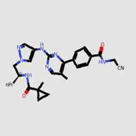 CCC[C@@H](Cn1cc(Nc2ncc(C)c(-c3ccc(C(=O)NCC#N)cc3)n2)cn1)NC(=O)C1(C)CC1